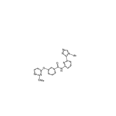 COc1nccc(Oc2cccc(C(=O)Nc3cccc(-c4nncn4C(C)C)n3)c2)n1